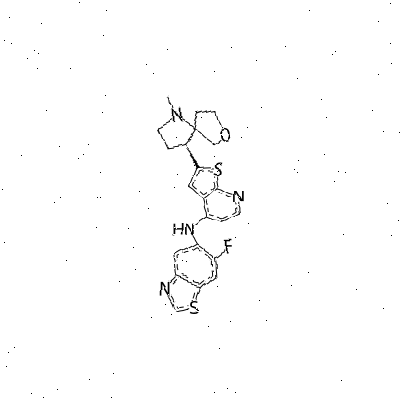 CN1CC[C@H](c2cc3c(Nc4cc5ncsc5cc4F)ccnc3s2)C12CCOC2